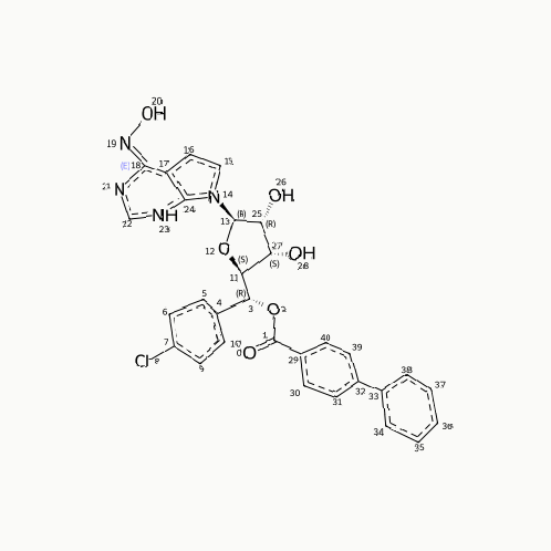 O=C(O[C@H](c1ccc(Cl)cc1)[C@H]1O[C@@H](n2ccc3/c(=N\O)nc[nH]c32)[C@H](O)[C@@H]1O)c1ccc(-c2ccccc2)cc1